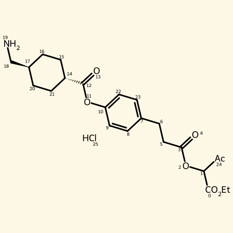 CCOC(=O)C(OC(=O)CCc1ccc(OC(=O)[C@H]2CC[C@H](CN)CC2)cc1)C(C)=O.Cl